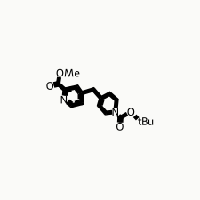 COC(=O)c1cc(CC2=CCN(C(=O)OC(C)(C)C)CC2)ccn1